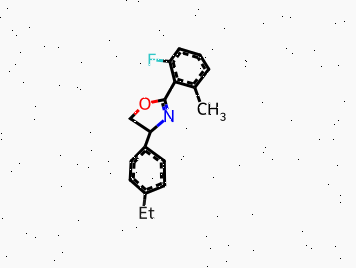 CCc1ccc(C2COC(c3c(C)cccc3F)=N2)cc1